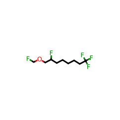 FCOCC(F)CCCCCC(F)(F)F